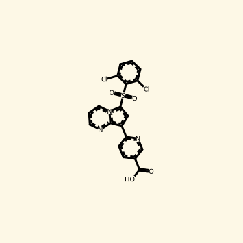 O=C(O)c1ccc(-c2cc(S(=O)(=O)c3c(Cl)cccc3Cl)n3cccnc23)nc1